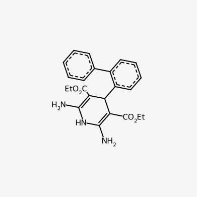 CCOC(=O)C1=C(N)NC(N)=C(C(=O)OCC)C1c1ccccc1-c1ccccc1